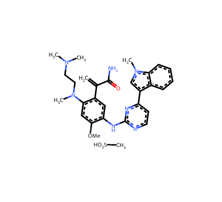 C=C(C(N)=O)c1cc(Nc2nccc(-c3cn(C)c4ccccc34)n2)c(OC)cc1N(C)CCN(C)C.CS(=O)(=O)O